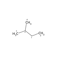 CCC(C)C